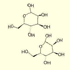 OC[C@H]1OC(O)[C@@H](O)[C@@H](O)[C@@H]1O.OC[C@H]1OC(O)[C@@H](O)[C@@H](O)[C@@H]1O